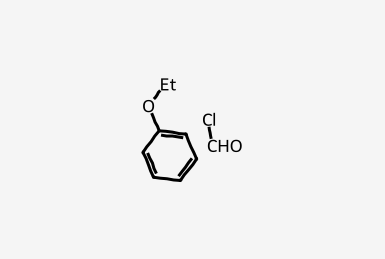 CCOc1ccccc1.O=CCl